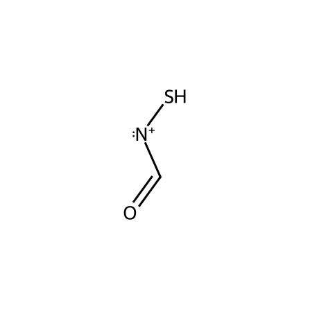 O=C[N+]S